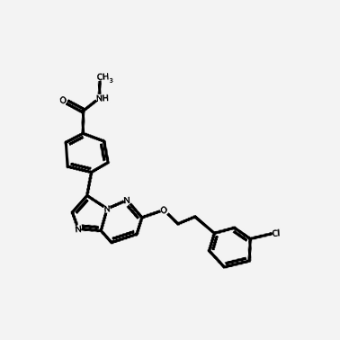 CNC(=O)c1ccc(-c2cnc3ccc(OCCc4cccc(Cl)c4)nn23)cc1